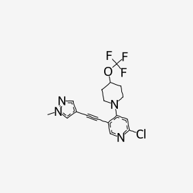 Cn1cc(C#Cc2cnc(Cl)cc2N2CCC(OC(F)(F)F)CC2)cn1